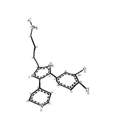 CCNCCCc1nc(-c2ccncc2)c(-c2ccc(Cl)c(Cl)c2)[nH]1